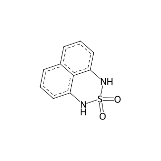 O=S1(=O)Nc2cccc3cccc(c23)N1